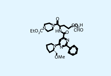 CCOC(=O)N1CCN(C(=O)C(CCC(=O)O)NC(=O)c2cc(N3CCCC[C@H]3COC)nc(-c3ccccc3)n2)CC1.O=CO